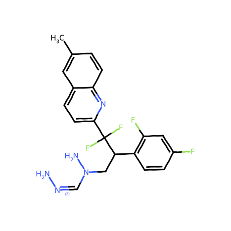 Cc1ccc2nc(C(F)(F)C(CN(N)/C=N\N)c3ccc(F)cc3F)ccc2c1